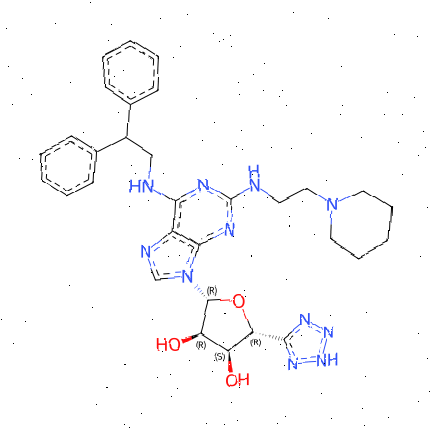 O[C@@H]1[C@H](O)[C@@H](c2nn[nH]n2)O[C@H]1n1cnc2c(NCC(c3ccccc3)c3ccccc3)nc(NCCN3CCCCC3)nc21